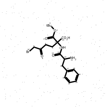 CC(C)(C)OC(=O)C(CCC(=O)CBr)(NC(=O)C(N)Cc1ccccc1)C(=O)O